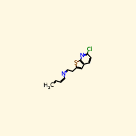 C=C/C=C\N=C/Cc1cc2ccc(Cl)nc2s1